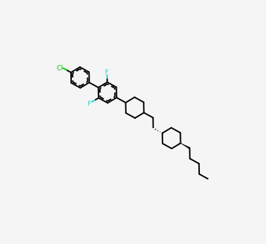 CCCCC[C@H]1CC[C@H](CCC2CCC(c3cc(F)c(-c4ccc(Cl)cc4)c(F)c3)CC2)CC1